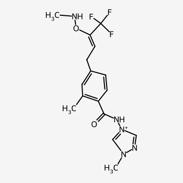 CNO/C(=C\Cc1ccc(C(=O)N[n+]2cnn(C)c2)c(C)c1)C(F)(F)F